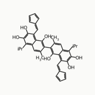 Cc1cc2c(C(C)C)c(O)c(O)c(C=C3C=CC=C3)c2c(O)c1-c1c(C)cc2c(C(C)C)c(O)c(O)c(C=C3C=CC=C3)c2c1O